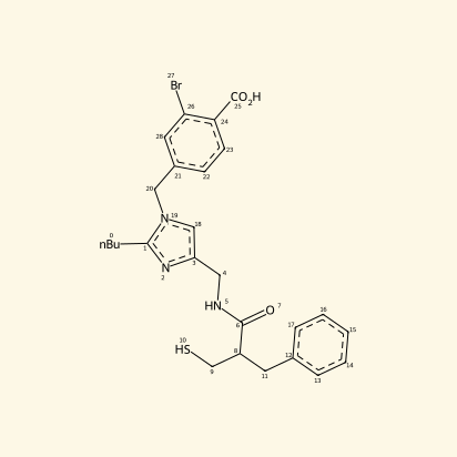 CCCCc1nc(CNC(=O)C(CS)Cc2ccccc2)cn1Cc1ccc(C(=O)O)c(Br)c1